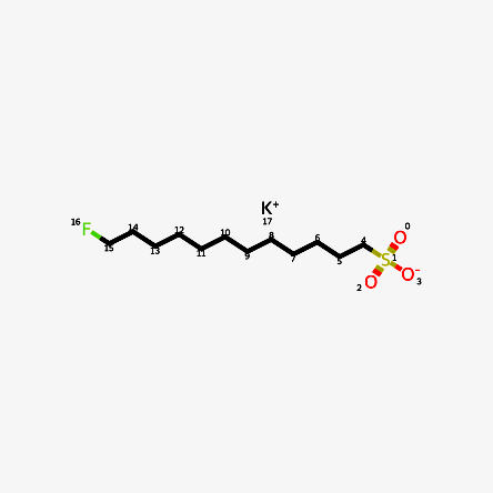 O=S(=O)([O-])CCCCCCCCCCCCF.[K+]